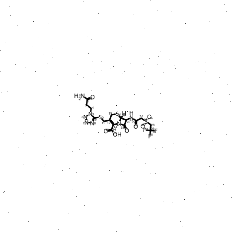 NC(=O)CCn1nnnc1SCC1=C(C(=O)O)N2C(=O)C(NC(=O)CS(=O)(=O)CC(F)(F)F)[C@H]2SC1